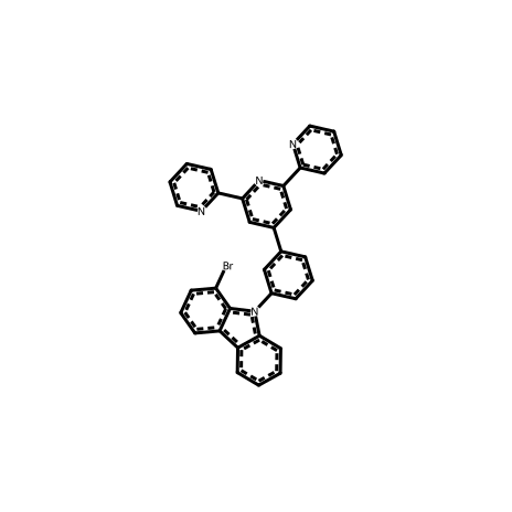 Brc1cccc2c3ccccc3n(-c3cccc(-c4cc(-c5ccccn5)nc(-c5ccccn5)c4)c3)c12